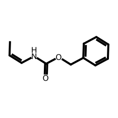 C/C=C\NC(=O)OCc1ccccc1